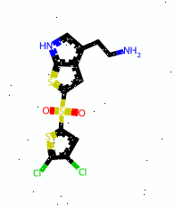 NCCc1c[nH]c2sc(S(=O)(=O)c3cc(Cl)c(Cl)s3)cc12